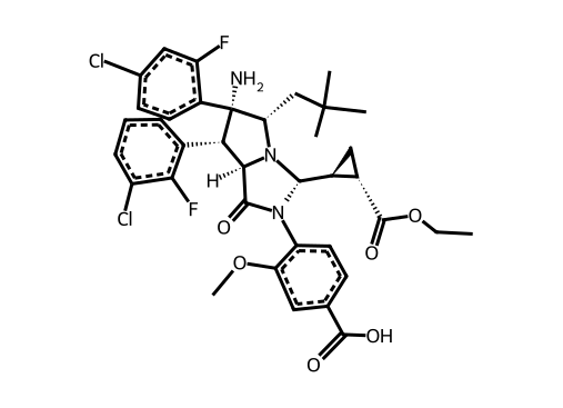 CCOC(=O)[C@H]1C[C@@H]1[C@@H]1N(c2ccc(C(=O)O)cc2OC)C(=O)[C@H]2[C@H](c3cccc(Cl)c3F)[C@@](N)(c3ccc(Cl)cc3F)[C@H](CC(C)(C)C)N12